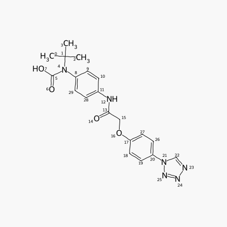 CC(C)(C)N(C(=O)O)c1ccc(NC(=O)COc2ccc(-n3cnnn3)cc2)cc1